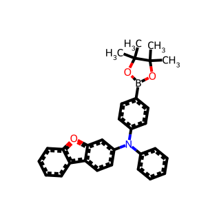 CC1(C)OB(c2ccc(N(c3ccccc3)c3ccc4c(c3)oc3ccccc34)cc2)OC1(C)C